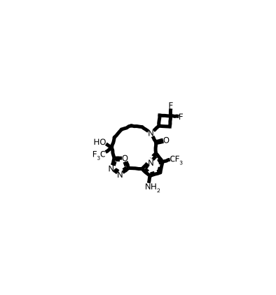 Nc1cc(C(F)(F)F)c2nc1-c1nnc(o1)C(O)(C(F)(F)F)CCCCN(C1CC(F)(F)C1)C2=O